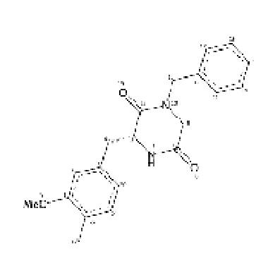 COc1cc(C[C@H]2NC(=O)CN(Cc3ccccc3)C2=O)ccc1C